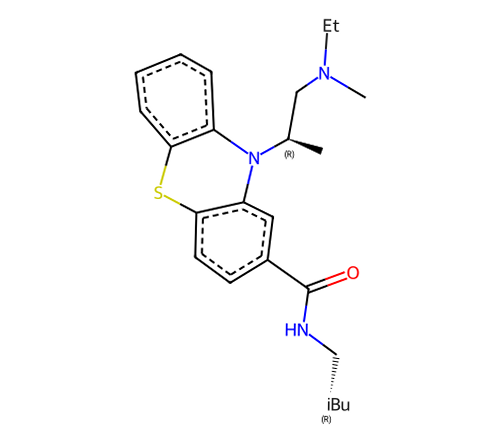 CC[C@@H](C)CNC(=O)c1ccc2c(c1)N([C@H](C)CN(C)CC)c1ccccc1S2